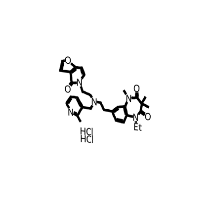 CCN1C(=O)C(C)(C)C(=O)N(C)c2cc(CCN(CCn3ccc4occc4c3=O)Cc3cccnc3C)ccc21.Cl.Cl